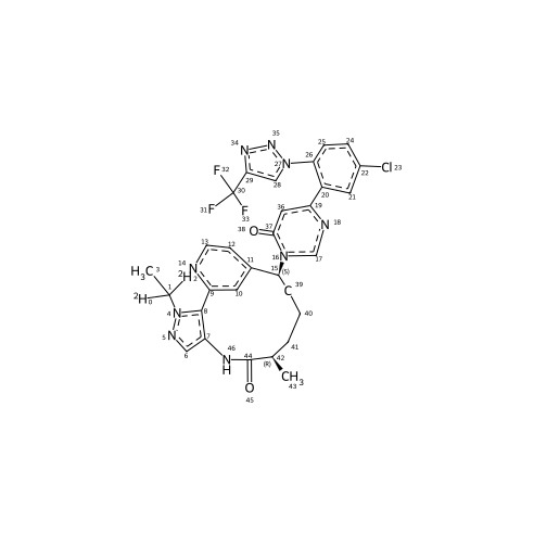 [2H]C([2H])(C)n1ncc2c1-c1cc(ccn1)[C@@H](n1cnc(-c3cc(Cl)ccc3-n3cc(C(F)(F)F)nn3)cc1=O)CCC[C@@H](C)C(=O)N2